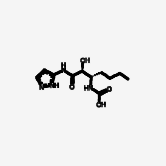 CCCC[C@H](NC(=O)O)[C@H](O)C(=O)Nc1ccn[nH]1